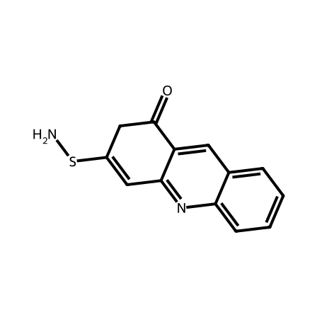 NSC1=Cc2nc3ccccc3cc2C(=O)C1